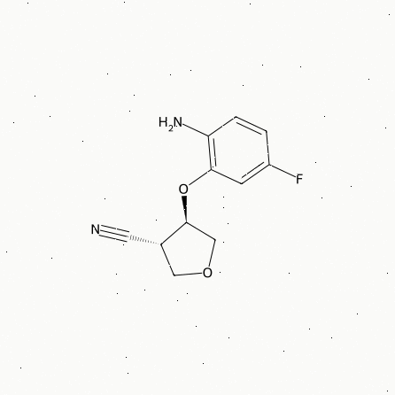 N#C[C@H]1COC[C@@H]1Oc1cc(F)ccc1N